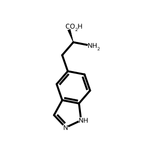 N[C@@H](Cc1ccc2[nH]ncc2c1)C(=O)O